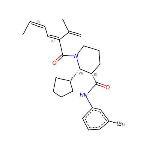 C=C(C)/C(=C\C=C/C)C(=O)N1CCC[C@H](C(=O)Nc2cccc(C(C)(C)C)c2)[C@@H]1C1CCCC1